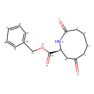 O=C1CCCCC(=O)N[C@H](C(=O)OCc2ccccc2)C1